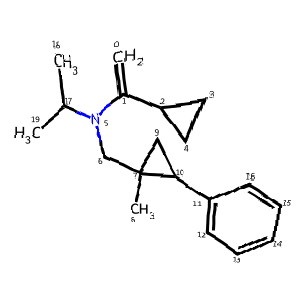 C=C(C1CC1)N(CC1(C)CC1c1ccccc1)C(C)C